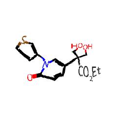 CCOC(=O)C(CO)(CO)c1ccc(=O)n(-c2ccsc2)c1